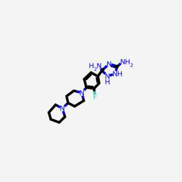 NC1=NC(N)(c2ccc(N3CCC(N4CCCCC4)CC3)c(F)c2)NN1